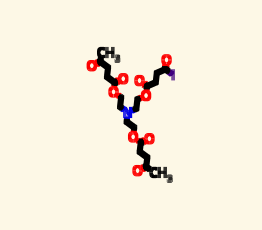 CC(=O)CCC(=O)OCCN(CCOC(=O)CCC(C)=O)CCOC(=O)CCC(=O)I